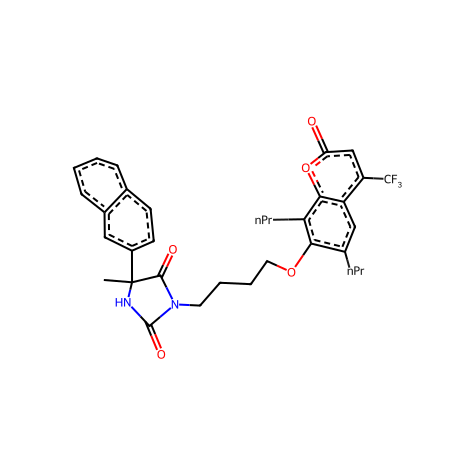 CCCc1cc2c(C(F)(F)F)cc(=O)oc2c(CCC)c1OCCCCN1C(=O)NC(C)(c2ccc3ccccc3c2)C1=O